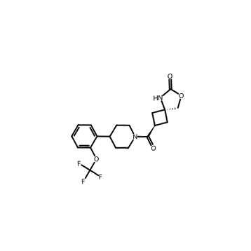 O=C1N[C@]2(CO1)C[C@H](C(=O)N1CCC(c3ccccc3OC(F)(F)F)CC1)C2